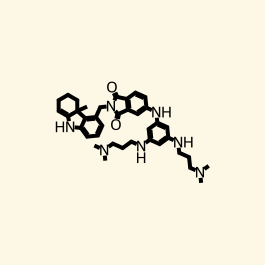 CN(C)CCCNc1cc(NCCCN(C)C)cc(Nc2ccc3c(c2)C(=O)N(Cc2cccc4c2C2(C)CCCC=C2N4)C3=O)c1